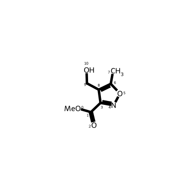 COC(=O)c1noc(C)c1CO